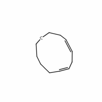 [CH]1CCC=CCC=CCCCC1